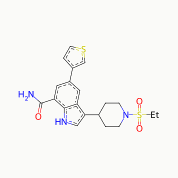 CCS(=O)(=O)N1CCC(c2c[nH]c3c(C(N)=O)cc(-c4ccsc4)cc23)CC1